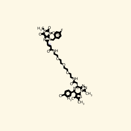 Cc1sc2c(c1C)C(c1ccc(Cl)cc1)=N[C@@H](CC(=O)NCCOCCOCCOCCNC(=O)/C=C/c1nc3c(=O)n(C)c(=O)n(C)c3n1Cc1ccc(F)cc1)c1nnc(C)n1-2